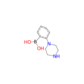 OB(O)c1ccccc1N1CCNCC1